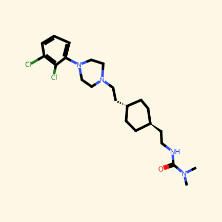 CN(C)C(=O)NCC[C@H]1CC[C@H](CCN2CCN(c3cccc(Cl)c3Cl)CC2)CC1